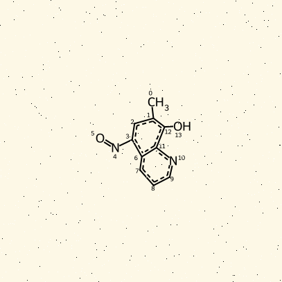 Cc1cc(N=O)c2cccnc2c1O